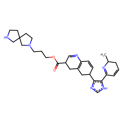 CC1CC=CC(c2[nH]cnc2C2C=CC3=C(CC(C(=O)OCCCN4CCC5(CCNC5)C4)C=N3)C2)=N1